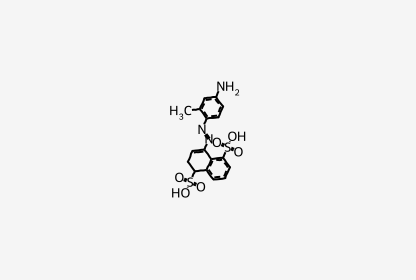 Cc1cc(N)ccc1N=NC1=CCC(S(=O)(=O)O)c2cccc(S(=O)(=O)O)c21